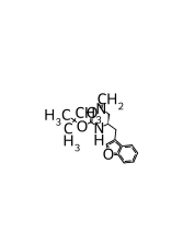 C=NC[C@@H](Cc1coc2ccccc12)NC(=O)OC(C)(C)C